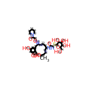 C[C@@H]1C/C=C/[C@@H](NC(=O)CS[C@@H]2OC(CO)[C@@H](O)C(O)C2O)C/C=C/C(=N/OCC(=O)N2CCCCC2)Cc2cc(O)cc(O)c2C(=O)O1